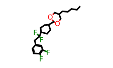 CCCCCC1COC(C2CCC(C(F)(F)Cc3ccc(F)c(F)c3)CC2)OC1